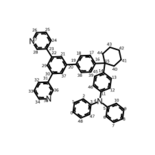 c1ccc(N(c2ccccc2)c2ccc(C3(c4ccc(-c5cc(-c6cccnc6)cc(-c6cccnc6)c5)cc4)CCCCC3)cc2)cc1